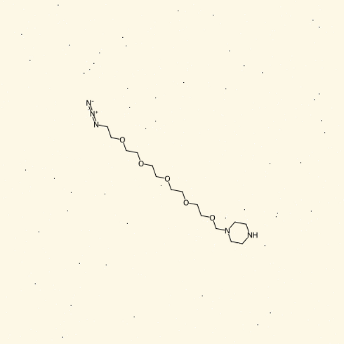 [N-]=[N+]=NCCOCCOCCOCCOCCOCN1CCNCC1